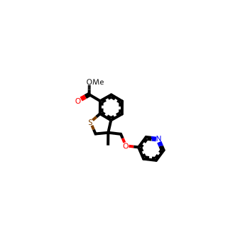 COC(=O)c1cccc2c1SCC2(C)COc1cccnc1